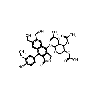 COc1cc(-c2c3c(c(OC4OCC(OC(C)=O)C(OC(C)=O)C4OC(C)=O)c4cc(CO)c(CO)cc24)COC3=O)ccc1O